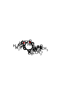 CCn1c(-c2cnccc2COC)c2c3cc(ccc31)-c1cc(O)cc(c1)C[C@H](NC(=O)C(C(C)C)N(C)C(=O)[C@H]1CCN(C(=O)N(C)C)C1)C(=O)N1CCC[C@H](N1)C(=O)OCC(C)(C)C2